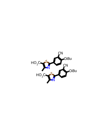 Cc1nc(-c2ccc(OCC(C)C)c(C#N)c2)sc1C(=O)O.Cc1nc(-c2ccc(OCC(C)C)c(C#N)c2)sc1C(=O)O